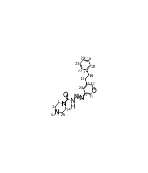 CN1CCN(C(=O)NN=NC2=COCC(CCc3ccccc3)=C2)CC1